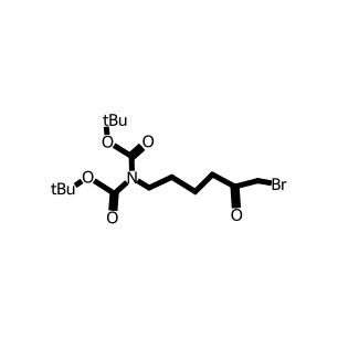 CC(C)(C)OC(=O)N(CCCCC(=O)CBr)C(=O)OC(C)(C)C